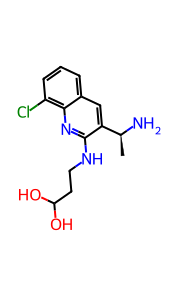 C[C@H](N)c1cc2cccc(Cl)c2nc1NCCC(O)O